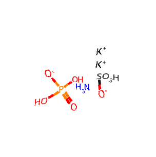 N.O=P([O-])(O)O.O=S(=O)([O-])O.[K+].[K+]